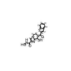 CC(C)C1c2nc(C(=O)NO)cn2CCN1C(=O)c1cc2ccccc2s1